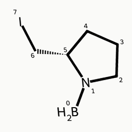 BN1CCC[C@H]1CI